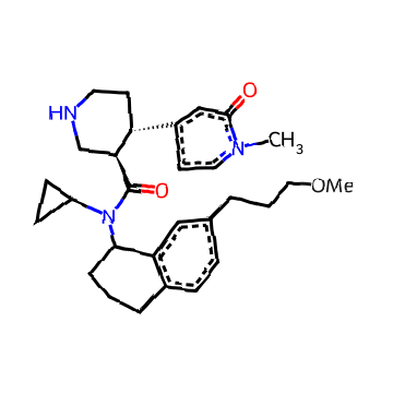 COCCCc1ccc2c(c1)C(N(C(=O)[C@H]1CNCC[C@@H]1c1ccn(C)c(=O)c1)C1CC1)CCC2